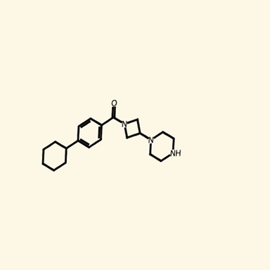 O=C(c1ccc(C2CCCCC2)cc1)N1CC(N2CCNCC2)C1